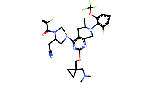 C=C(F)C(=O)N1CCN(c2nc(OCC3(CN(C)C)CC3)nc3c2CC(C)N(c2c(F)cccc2OC(F)(F)F)C3)CC1CC#N